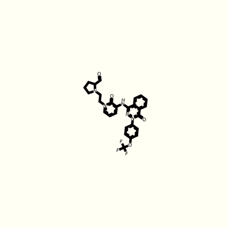 O=CC1CCCN1CCn1cccc(Nc2nn(-c3ccc(OC(F)(F)F)cc3)c(=O)c3ccccc23)c1=O